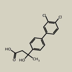 CC(O)(CC(=O)O)c1ccc(-c2ccc(Cl)c(Cl)c2)cc1